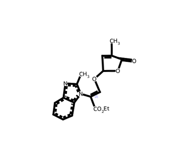 CCOC(=O)/C(=C/OC1C=C(C)C(=O)O1)n1c(C)nc2ccccc21